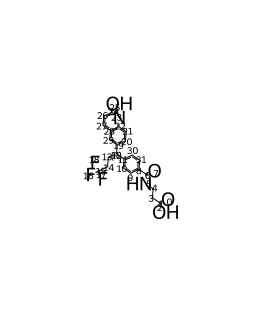 O=C(O)CCNC(=O)c1ccc([C@@H](CCC(F)(F)F)c2ccc3nc(O)ccc3c2)cc1